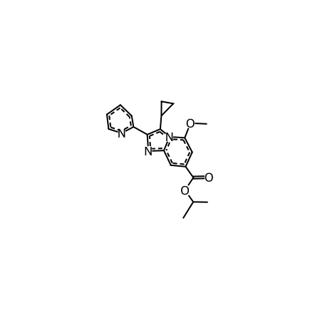 COc1cc(C(=O)OC(C)C)cc2nc(-c3ccccn3)c(C3CC3)n12